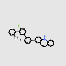 Cc1ccccc1-c1cc(-c2cccc(-c3ccc4c(c3)C=Cc3ccccc3N4)c2)ccc1F